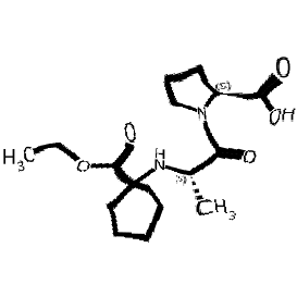 CCOC(=O)C1(N[C@@H](C)C(=O)N2CCC[C@H]2C(=O)O)CCCC1